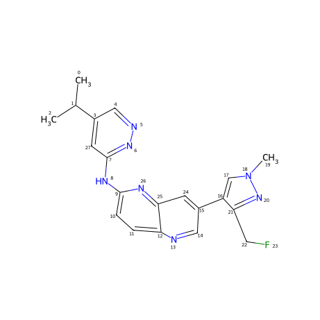 CC(C)c1cnnc(Nc2ccc3ncc(-c4cn(C)nc4CF)cc3n2)c1